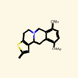 COc1ccc(OC)c2c1CC1c3cc(C)sc3CCN1C2